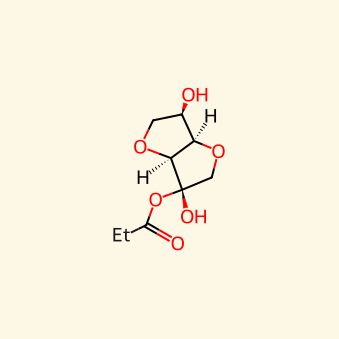 CCC(=O)O[C@@]1(O)CO[C@@H]2[C@H](O)CO[C@@H]21